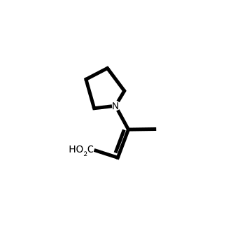 C/C(=C/C(=O)O)N1CCCC1